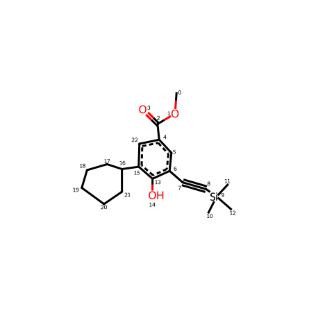 COC(=O)c1cc(C#C[Si](C)(C)C)c(O)c(C2CCCCC2)c1